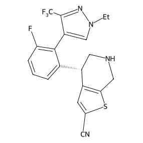 CCn1cc(-c2c(F)cccc2[C@@H]2CNCc3sc(C#N)cc32)c(C(F)(F)F)n1